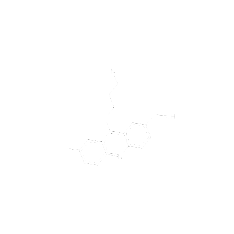 COc1ccc2nc3ccc(C)cc3c(OCCCN)c2c1